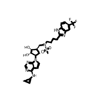 CS(=O)(=O)N(CCCCc1nc2cc(C(F)(F)F)ccc2[nH]1)C[C@H]1CC(n2ccc3c(NC4CC4)ncnc32)[C@H](O)[C@@H]1O